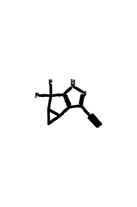 C#Cc1n[nH]c2c1C1CC1C2(F)F